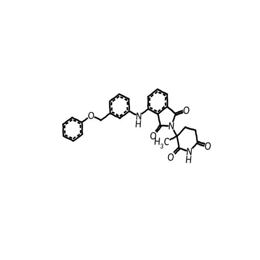 CC1(N2C(=O)c3cccc(Nc4cccc(COc5ccccc5)c4)c3C2=O)CCC(=O)NC1=O